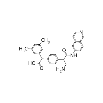 Cc1cc(C)cc(C(C(=O)O)c2ccc(C(CN)C(=O)Nc3ccc4cnccc4c3)cc2)c1